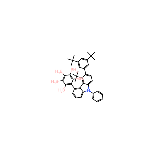 Bc1c(B)c(B)c(-c2cccc3c2c2c(C(C)(C)C)c(-c4cc(C(C)(C)C)cc(C(C)(C)C)c4)ccc2n3-c2ccccc2)c(B)c1B